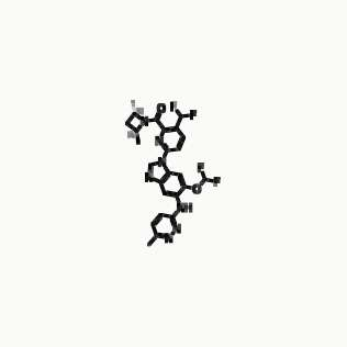 Cc1ccc(Nc2cc3ncn(-c4ccc(C(F)F)c(C(=O)N5[C@@H](C)C[C@@H]5C)n4)c3cc2OC(F)F)nn1